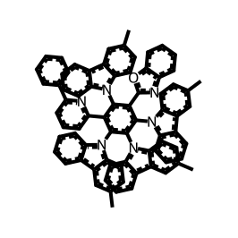 Cc1ccc2c(c1)c1ccccc1n2-c1c(-c2cccc(-c3ccccc3)n2)c(-n2c3ccccc3c3cc(C)ccc32)c(-n2c3ccccc3c3cc(C)ccc32)c(-n2c3ccccc3c3cc(C)ccc32)c1-c1nc2ccccc2o1